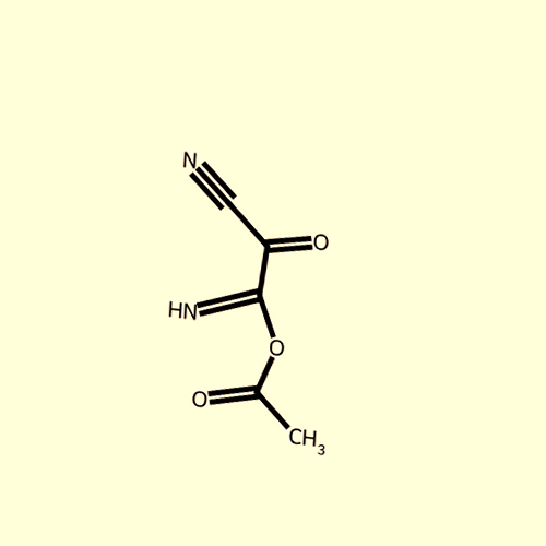 CC(=O)OC(=N)C(=O)C#N